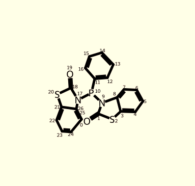 O=c1sc2ccccc2n1P(c1ccccc1)n1c(=O)sc2ccccc21